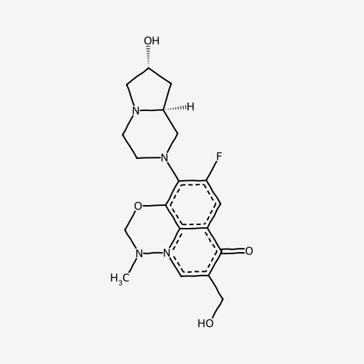 CN1COc2c(N3CCN4C[C@H](O)C[C@H]4C3)c(F)cc3c(=O)c(CO)cn1c23